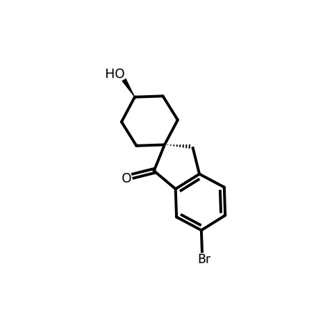 O=C1c2cc(Br)ccc2C[C@]12CC[C@H](O)CC2